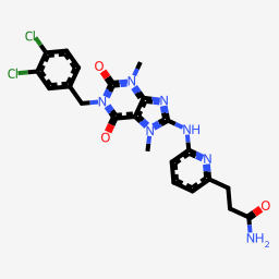 Cn1c(Nc2cccc(CCC(N)=O)n2)nc2c1c(=O)n(Cc1ccc(Cl)c(Cl)c1)c(=O)n2C